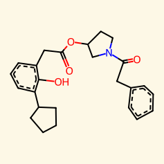 O=C(Cc1cccc(C2CCCC2)c1O)OC1CCN(C(=O)Cc2ccccc2)C1